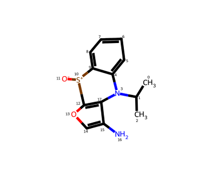 CC(C)N1c2ccccc2[S+]([O-])c2occ(N)c21